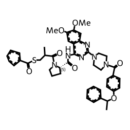 COc1cc2nc(N3CCN(C(=O)c4ccc(OC(C)c5ccccc5)cc4)CC3)nc(NC(=O)[C@@H]3CCCN3C(=O)C(C)CSC(=O)c3ccccc3)c2cc1OC